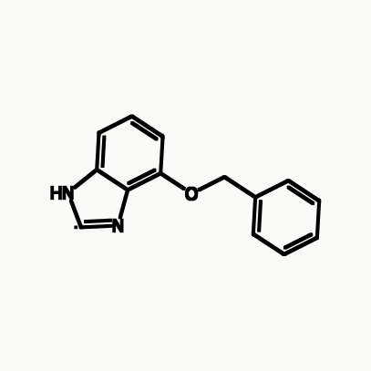 [c]1nc2c(OCc3ccccc3)cccc2[nH]1